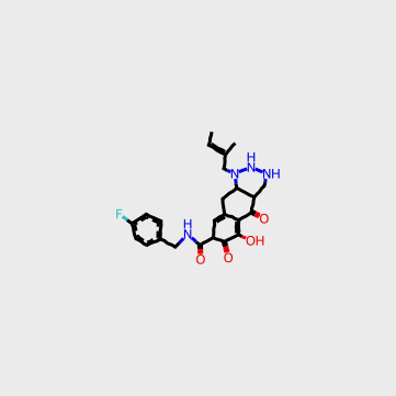 C/C=C(\C)CN1NNCC2C(=O)C3=C(O)C(=O)C(C(=O)NCc4ccc(F)cc4)C=C3CC21